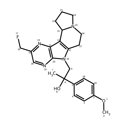 COc1ccc(C(C)(O)Cn2c3c(c4nc(CF)cnc42)C2CCCN2CC3)cc1